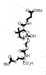 COC(=O)CCNC(=O)[C@@H]1O[PH](O)(OCOC(=O)N[C@@H](CSC(=O)C(C)(C)C)C(=O)O)OCC1(C)C